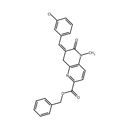 CN1C(=O)C(=Cc2cccc(Cl)c2)Cc2nc(C(=O)OCc3ccccc3)ccc21